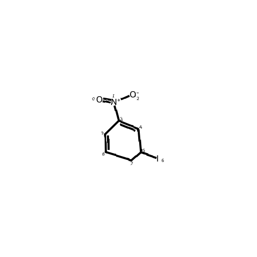 O=[N+]([O-])C1=CC(I)CC=C1